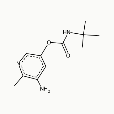 Cc1ncc(OC(=O)NC(C)(C)C)cc1N